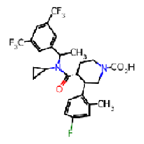 Cc1cc(F)ccc1[C@@H]1CN(C(=O)O)CC[C@H]1C(=O)N(C1CC1)C(C)c1cc(C(F)(F)F)cc(C(F)(F)F)c1